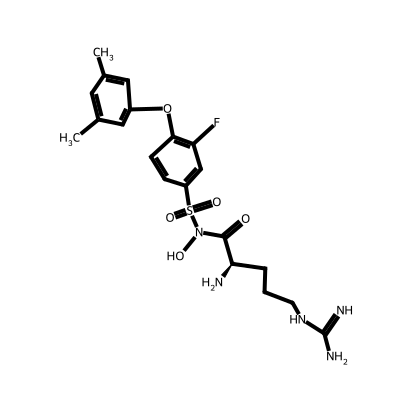 Cc1cc(C)cc(Oc2ccc(S(=O)(=O)N(O)C(=O)[C@H](N)CCCNC(=N)N)cc2F)c1